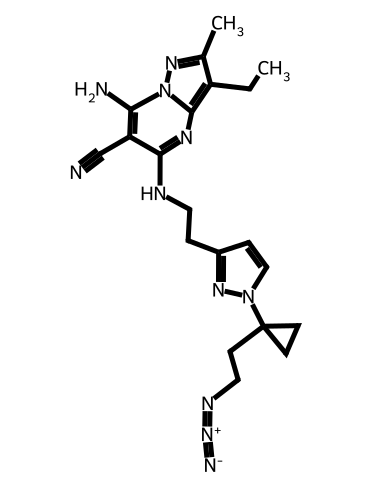 CCc1c(C)nn2c(N)c(C#N)c(NCCc3ccn(C4(CCN=[N+]=[N-])CC4)n3)nc12